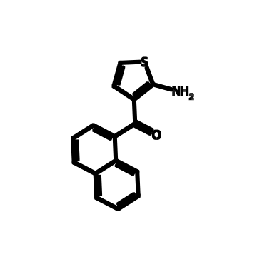 Nc1sccc1C(=O)c1cccc2ccccc12